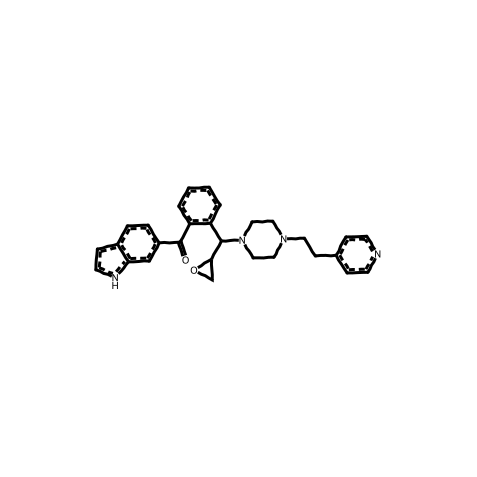 O=C(c1ccc2cc[nH]c2c1)c1ccccc1C(C1CO1)N1CCN(CCc2ccncc2)CC1